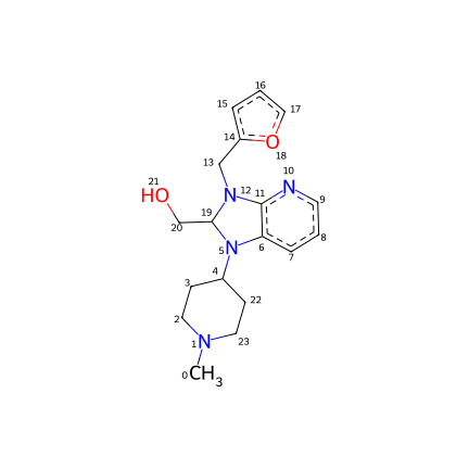 CN1CCC(N2c3cccnc3N(Cc3ccco3)C2CO)CC1